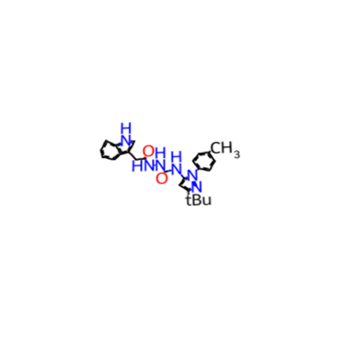 Cc1ccc(-n2nc(C(C)(C)C)cc2NC(=O)NNC(=O)Cc2c[nH]c3ccccc23)cc1